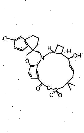 CC1(C)C/C=C/[C@H](O)[C@@H]2CC[C@H]2CN2C[C@@]3(CCCc4cc(Cl)ccc43)COc3ccc(cc32)C(=O)CS(=O)(=O)C1